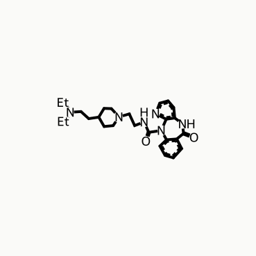 CCN(CC)CCC1CCN(CCNC(=O)N2c3ccccc3C(=O)Nc3cccnc32)CC1